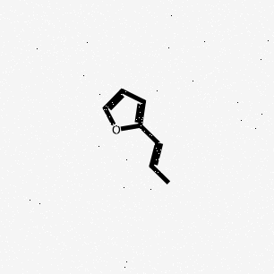 CC=Cc1ccco1